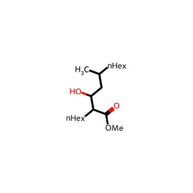 CCCCCCC(C)CC(O)C(CCCCCC)C(=O)OC